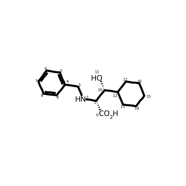 O=C(O)[C@H](NCc1ccccc1)[C@H](O)C1CCCCC1